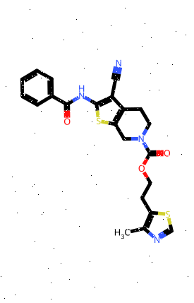 Cc1ncsc1CCOC(=O)N1CCc2c(sc(NC(=O)c3ccccc3)c2C#N)C1